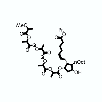 CCCCCCCC[C@@H]1[C@@H](C/C=C\CCCC(=O)OC(C)C)[C@@H](OC(=O)C(C)OC(=O)C(C)OOC(=O)C(C)OOC(=O)C(C)OC(=O)C(C)OC)C[C@H]1O